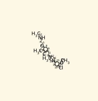 CCNCCCOc1ccc(CCN2CCN(c3ccc(Cl)c(OC)c3)CC2)c(C)c1C